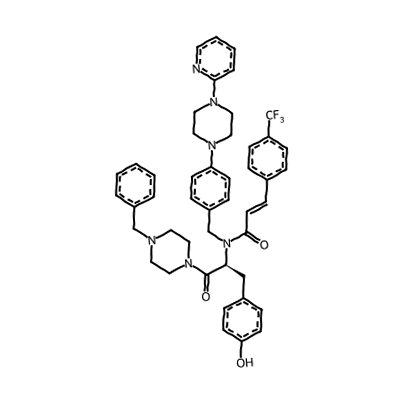 O=C([C@H](Cc1ccc(O)cc1)N(Cc1ccc(N2CCN(c3ccccn3)CC2)cc1)C(=O)/C=C/c1ccc(C(F)(F)F)cc1)N1CCN(Cc2ccccc2)CC1